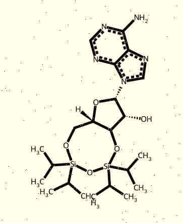 CC(C)[Si]1(C(C)C)OC[C@@H]2O[C@H](n3cnc4c(N)ncnc43)[C@H](O)C2O[Si](C(C)C)(C(C)C)O1